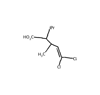 CC(C)C(C(=O)O)C(C)C=C(Cl)Cl